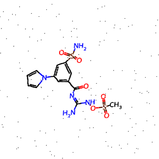 CS(=O)(=O)ONC(N)=NC(=O)c1cc(-n2cccc2)cc(S(N)(=O)=O)c1